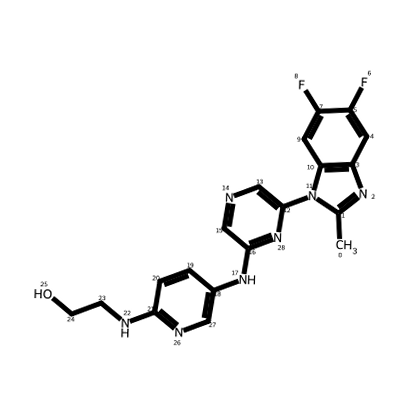 Cc1nc2cc(F)c(F)cc2n1-c1cncc(Nc2ccc(NCCO)nc2)n1